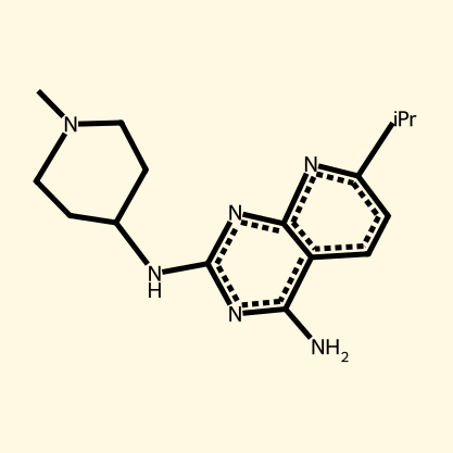 CC(C)c1ccc2c(N)nc(NC3CCN(C)CC3)nc2n1